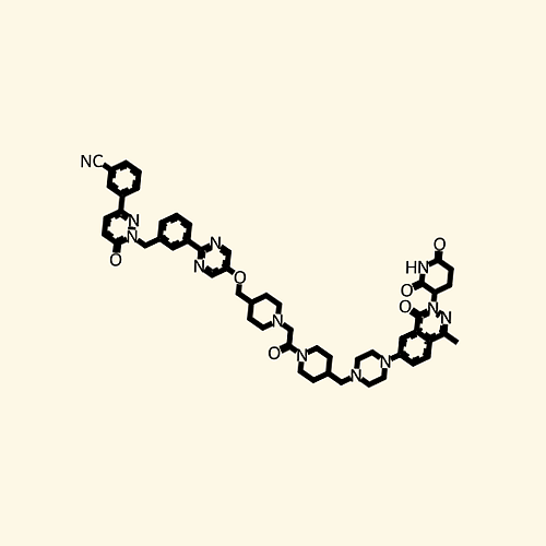 Cc1nn(C2CCC(=O)NC2=O)c(=O)c2cc(N3CCN(CC4CCN(C(=O)CN5CCC(COc6cnc(-c7cccc(Cn8nc(-c9cccc(C#N)c9)ccc8=O)c7)nc6)CC5)CC4)CC3)ccc12